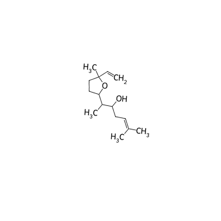 C=CC1(C)CCC(C(C)C(O)CC=C(C)C)O1